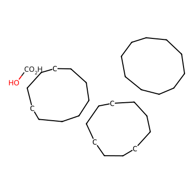 C1CCCCCCCCC1.C1CCCCCCCCC1.C1CCCCCCCCC1.O=C(O)O